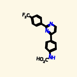 O=C(O)Nc1ccc(-c2ccnc(-c3ccc(C(F)(F)F)cc3)n2)cc1